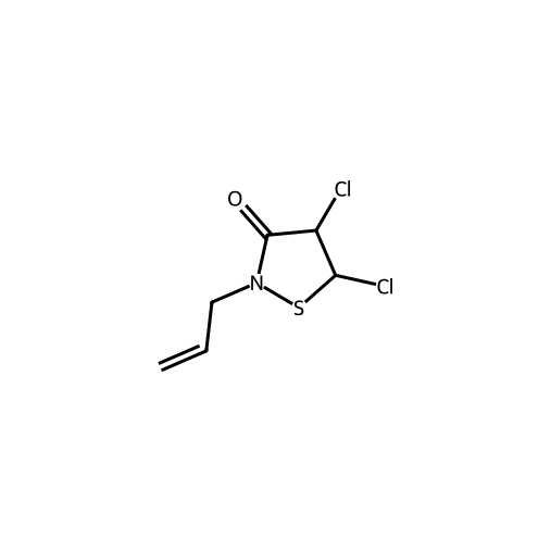 C=CCN1SC(Cl)C(Cl)C1=O